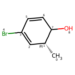 C[C@@H]1C=C(Br)C=CC1O